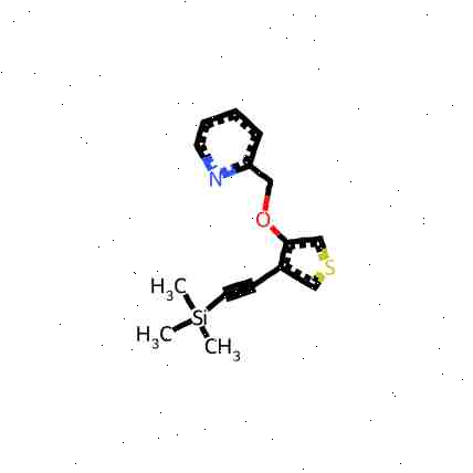 C[Si](C)(C)C#Cc1cscc1OCc1ccccn1